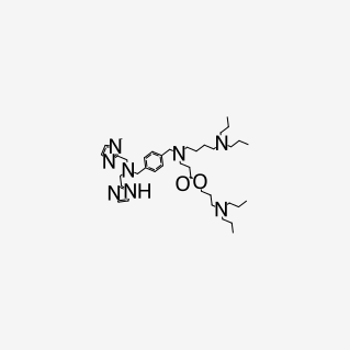 CCCN(CCC)CCCCN(CCC(=O)OCCCN(CCC)CCC)Cc1ccc(CN(Cc2ncc[nH]2)Cc2nccn2C)cc1